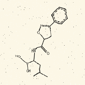 CC(C)CC(NC(=O)C1CC(c2ccccc2)=NO1)B(O)O